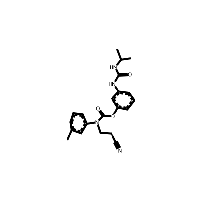 Cc1cccc(N(CCC#N)C(=O)Oc2cccc(NC(=O)NC(C)C)c2)c1